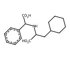 O=C(O)C(CC1CCCCC1)NC(C(=O)O)c1ccccc1